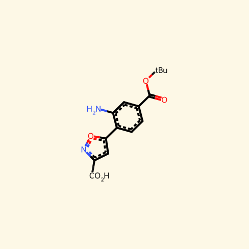 CC(C)(C)OC(=O)c1ccc(-c2cc(C(=O)O)no2)c(N)c1